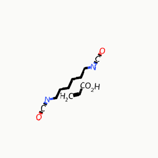 C=CC(=O)O.O=C=NCCCCCCN=C=O